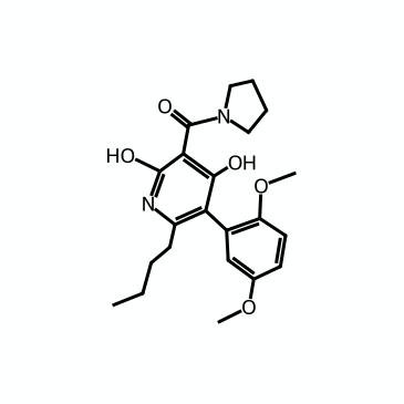 CCCCc1nc(O)c(C(=O)N2CCCC2)c(O)c1-c1cc(OC)ccc1OC